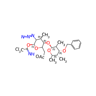 CC(=O)OCC1O[C@@H](OC(=N)C(Cl)(Cl)Cl)C(N=[N+]=[N-])[C@@H](C)[C@H]1O[C@@H]1OC(C)[C@@H](C)[C@@H](OCc2ccccc2)C1C